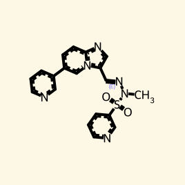 CN(/N=C/c1cnc2ccc(-c3cccnc3)cn12)S(=O)(=O)c1cccnc1